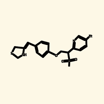 CCc1ccc(C(COc2ccc(/C=C3/CSCN3)cc2)S(C)(=O)=O)nc1